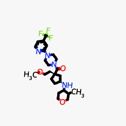 COCC[C@]1(C(=O)N2CCN(c3cc(C(F)(F)F)ccn3)CC2)CC[C@@H](NC2CCOCC2C)C1